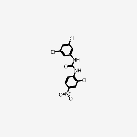 O=C(Nc1cc(Cl)cc(Cl)c1)Nc1ccc([N+](=O)[O-])cc1Cl